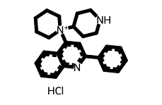 Cl.c1ccc(-c2cc([N+]3(C4CCNCC4)CCCCC3)c3ccccc3n2)cc1